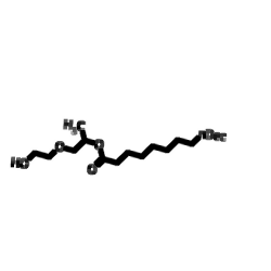 CCCCCCCCCCCCCCCCCC(=O)OC(C)COCCO